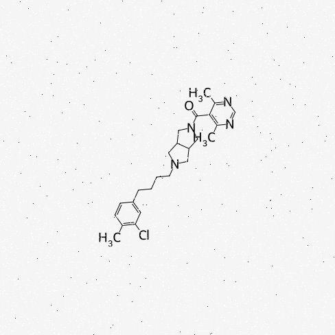 Cc1ccc(CCCCN2CC3CN(C(=O)c4c(C)ncnc4C)CC3C2)cc1Cl